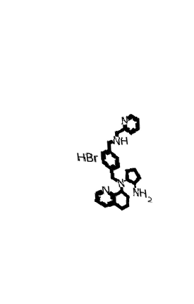 Br.N[C@@H]1CCC[C@H]1N(Cc1ccc(CNCc2ccccn2)cc1)C1CCCc2cccnc21